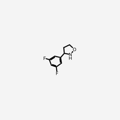 Fc1cc(F)cc(C2CCON2)c1